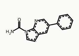 NC(=O)n1c[c]c2cc(-c3ccccc3)cnc21